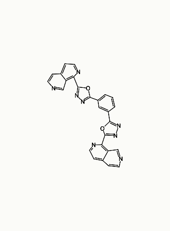 c1cc(-c2nnc(-c3nccc4ccncc34)o2)cc(-c2nnc(-c3nccc4ccncc34)o2)c1